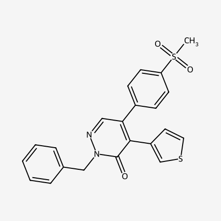 CS(=O)(=O)c1ccc(-c2cnn(Cc3ccccc3)c(=O)c2-c2ccsc2)cc1